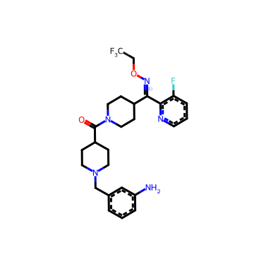 Nc1cccc(CN2CCC(C(=O)N3CCC(/C(=N\OCC(F)(F)F)c4ncccc4F)CC3)CC2)c1